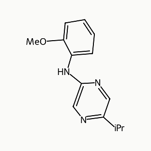 COc1ccccc1Nc1cnc(C(C)C)cn1